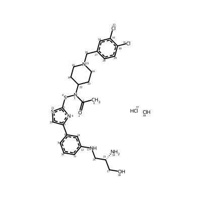 CC(=O)N(Sc1nc(-c2cccc(NC[C@H](N)CO)c2)cs1)C1CCN(Cc2ccc(Cl)c(Cl)c2)CC1.Cl.Cl